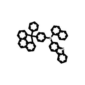 c1ccc(C2(c3ccc(N(c4ccc5c(c4)sc4ccccc45)c4cccc5ccccc45)cc3)c3cccc4ccc5cccc2c5c34)cc1